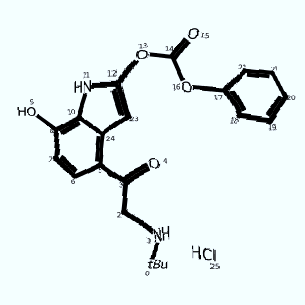 CC(C)(C)NCC(=O)c1ccc(O)c2[nH]c(OC(=O)Oc3ccccc3)cc12.Cl